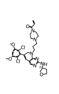 C=CC(=O)N1CCN(CCCN2CC(c3c(Cl)c(OC)cc(OC)c3Cl)=Cc3cnc(N[C@H]4CCOC4)nc32)CC1